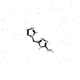 Nc1nnc(Cn2ccnc2)s1